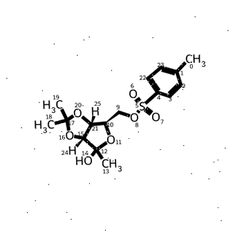 Cc1ccc(S(=O)(=O)OC[C@H]2OC(C)(O)[C@@H]3OC(C)(C)O[C@@H]32)cc1